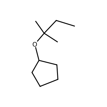 CCC(C)(C)OC1CCCC1